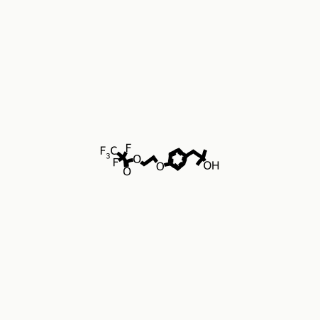 CC(C)(O)Cc1ccc(OCCOC(=O)C(F)(F)C(F)(F)F)cc1